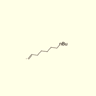 [CH]=CCCCCCCCCC